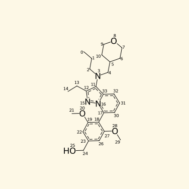 CCCN(CC1CCOCC1)c1c(CC)nn2c(-c3c(OC)cc(CO)cc3OC)cccc12